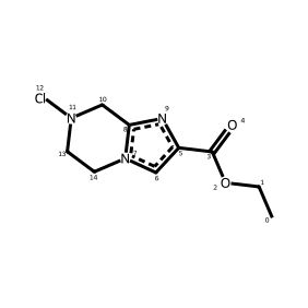 CCOC(=O)c1cn2c(n1)CN(Cl)CC2